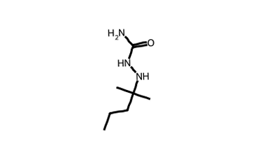 CCCC(C)(C)NNC(N)=O